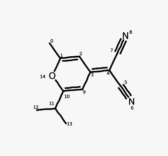 CC1=CC(=C(C#N)C#N)C=C(C(C)C)O1